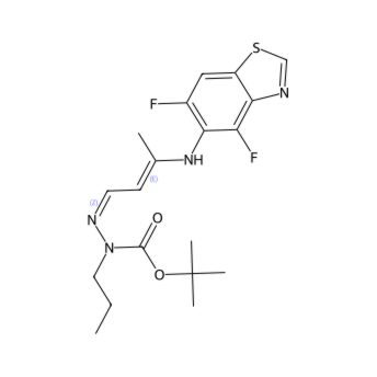 CCCN(/N=C\C=C(/C)Nc1c(F)cc2scnc2c1F)C(=O)OC(C)(C)C